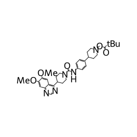 COc1cc2ncnc(C3CCN(C(=O)Nc4ccc(C5CCN(OC(=O)C(C)(C)C)CC5)cc4)CC3)c2cc1OC